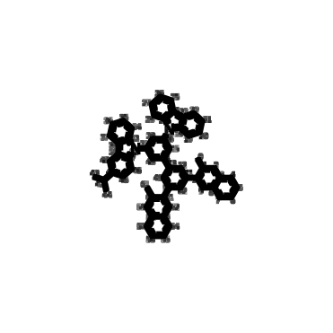 Cc1cc2ccccc2cc1-c1cc(-c2cc(-n3c4ccccc4c4ccccc43)cc(-n3c4ccccc4c4cc(C(C)C)ccc43)c2)cc(-c2cc3ccccc3cc2C)c1